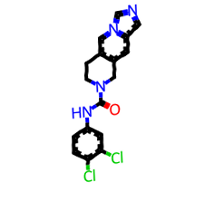 O=C(Nc1ccc(Cl)c(Cl)c1)N1CCc2cn3cncc3cc2C1